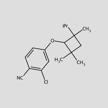 CC(C)C1(C)CC(C)(C)C1Oc1ccc(C#N)c(Cl)c1